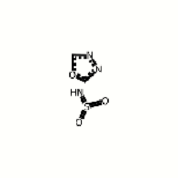 N=S(=O)=O.c1nnco1